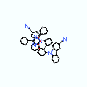 N#Cc1ccc2c(c1)c1ccccc1n2-c1ccccc1-c1c(-c2cc(-c3ccccc3)nc(-c3ccccc3)n2)cccc1-n1c2ccccc2c2cc(C#N)ccc21